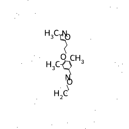 C=CCON=Cc1cc(C)c(OCCCc2cc(C)no2)c(C)c1